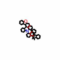 CC1(C)c2ccccc2-c2cc(-c3ccccc3N(c3ccccc3-c3cccc4oc5ccccc5c34)c3cccc4c3-c3ccccc3C4(C)C)ccc21